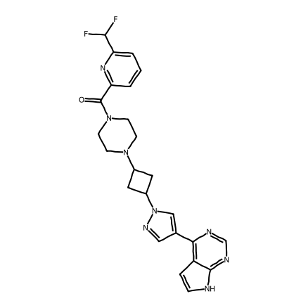 O=C(c1cccc(C(F)F)n1)N1CCN(C2CC(n3cc(-c4ncnc5[nH]ccc45)cn3)C2)CC1